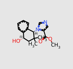 COC(=O)c1cncn1[C@H]1c2ccccc2[C@@H](O)CC1(C)C